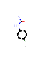 NC(=O)Nc1[c]cc(Br)cc1